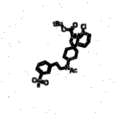 CC(=O)N(CCc1cccc(S(C)(=O)=O)c1)C1CCC(CNC(=O)OC(C)(C)C)(c2cccc(Cl)c2)CC1